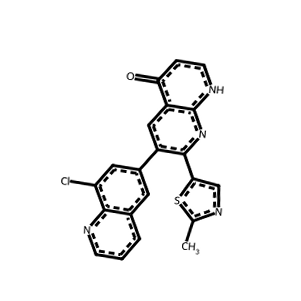 Cc1ncc(-c2nc3[nH]ccc(=O)c3cc2-c2cc(Cl)c3ncccc3c2)s1